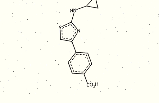 O=C(O)c1ccc(-c2csc(NC3CC3)n2)cc1